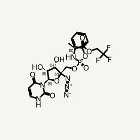 C[C@H](NP(=O)(OC[C@@]1(N=[N+]=[N-])O[C@@H](n2c(=O)cc[nH]c2=O)[C@H](O)[C@@H]1O)Oc1ccccc1)C(=O)OCC(F)(F)F